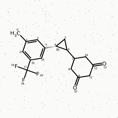 Cc1cc([C@@H]2CC2C2CC(=O)CC(=O)C2)cc(C(F)(F)F)c1